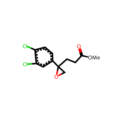 COC(=O)CCC1(c2ccc(Cl)c(Cl)c2)CO1